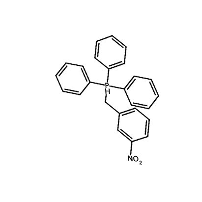 O=[N+]([O-])c1cccc(C[PH](c2ccccc2)(c2ccccc2)c2ccccc2)c1